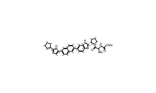 CC[C@H](C)[C@H](NC(=O)OC)C(=O)N1CCC[C@H]1c1nc2ccc(-c3ccc4cc(-c5cnc(C6CCCC6)[nH]5)ccc4c3)cc2[nH]1